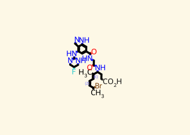 C/C(=C\C=C/C(C)Br)C(CCC(=O)O)NC(=O)CNC(=O)c1cc(NC2=NCC(F)CN2)c2cn[nH]c2c1